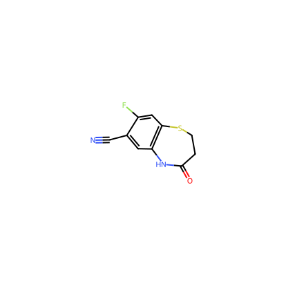 N#Cc1cc2c(cc1F)SCCC(=O)N2